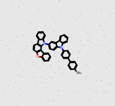 CC(C)(C)c1ccc(-c2ccc(-n3c4ccccc4c4cc(-n5c6ccccc6c6ccc7oc8ccccc8c7c65)ccc43)cc2)cc1